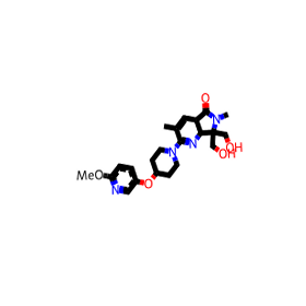 COc1ccc(OC2CCN(C3=NC4C(C=C3C)C(=O)N(C)C4(CO)CO)CC2)cn1